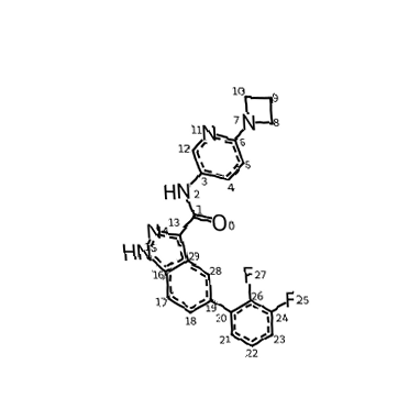 O=C(Nc1ccc(N2CCC2)nc1)c1n[nH]c2ccc(-c3cccc(F)c3F)cc12